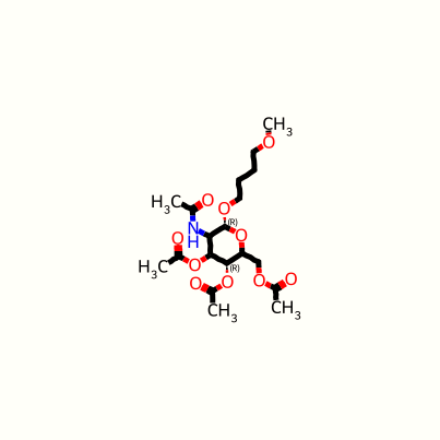 COCCCCO[C@@H]1OC(COC(C)=O)[C@H](OC(C)=O)C(OC(C)=O)C1NC(C)=O